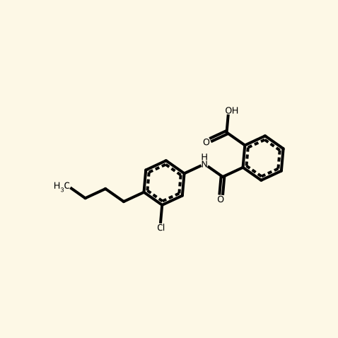 CCCCc1ccc(NC(=O)c2ccccc2C(=O)O)cc1Cl